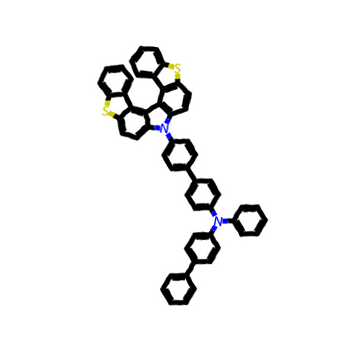 c1ccc(-c2ccc(N(c3ccccc3)c3ccc(-c4ccc(-n5c6ccc7sc8ccccc8c7c6c6c7c(ccc65)sc5ccccc57)cc4)cc3)cc2)cc1